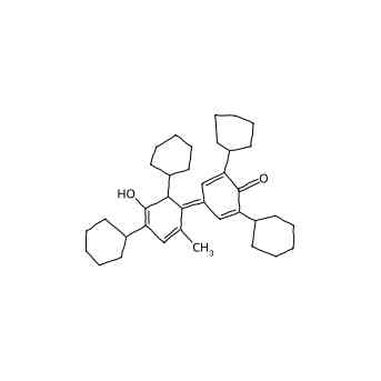 CC1=CC(C2CCCCC2)=C(O)C(C2CCCCC2)C1=C1C=C(C2CCCCC2)C(=O)C(C2CCCCC2)=C1